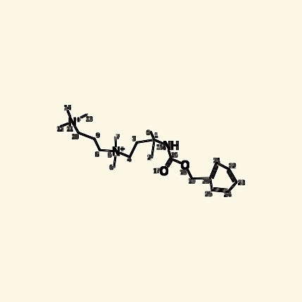 CC(C)(CC[N+](C)(C)CCC[N+](C)(C)C)NC(=O)OCc1ccccc1